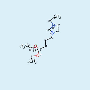 CCO[SiH](CCCN1CCN(CC)C1)OCC